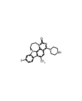 O=c1nc(N2CCNCC2)c2cc(C(F)(F)F)c3c4c2n1CCCS4(F)c1cc(F)ccc1-3